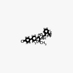 CC(C)[C@@H](NC(=O)Cc1ccccc1C(F)(F)F)C(=O)N1CCC(c2ccc(Cl)cc2)CC1